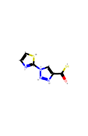 O=C(S)c1cn(-c2nccs2)nn1